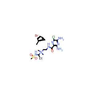 CCC(NS(C)(=O)=O)[N+](C)(C)CCNC(=O)c1nc(Cl)c(N)nc1N.Cc1ccc2cc1-2.[Br-]